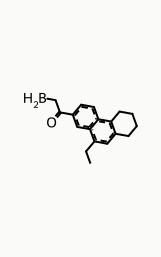 BCC(=O)c1ccc2c3c(cc(CC)c2c1)CCCC3